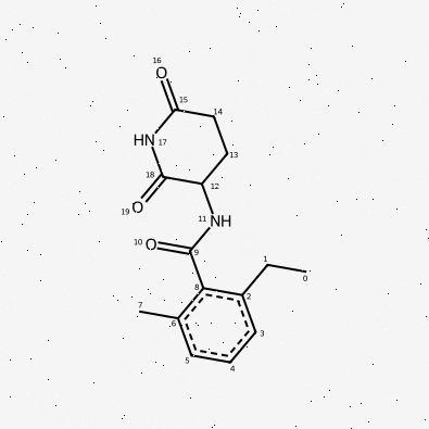 CCc1cccc(C)c1C(=O)NC1CCC(=O)NC1=O